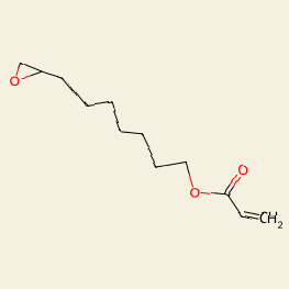 C=CC(=O)OCCCCCCCC1CO1